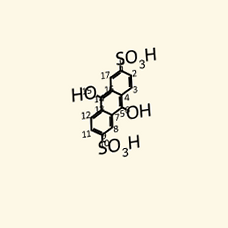 O=S(=O)(O)c1ccc2c(O)c3cc(S(=O)(=O)O)ccc3c(O)c2c1